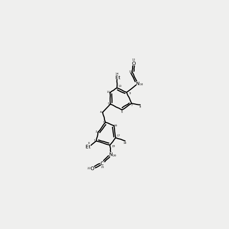 CCc1cc(Cc2cc(C)c(N=C=O)c(CC)c2)cc(C)c1N=C=O